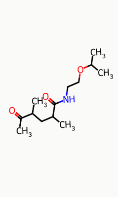 CC(=O)C(C)CC(C)C(=O)NCCOC(C)C